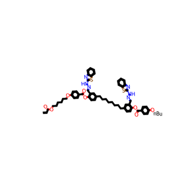 C=CC(=O)OCCCCCCOc1ccc(C(=O)Oc2ccc(CCCCCCCCc3ccc(OC(=O)c4ccc(OCCCC)cc4)c(/C=N/Nc4nc5ccccc5s4)c3)cc2/C=N/Nc2nc3ccccc3s2)cc1